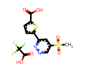 CS(=O)(=O)c1cnnc(-c2ccc(C(=O)O)s2)c1.O=C(O)C(F)(F)F